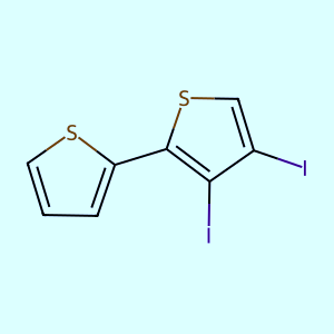 Ic1csc(-c2cccs2)c1I